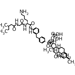 C/C=C1\C=C[C@@]2(C)C(=C1)CC[C@@H]1[C@@H]2[C@@H](O)C[C@@]2(C)[C@H]1C[C@H]1O[C@@H](c3ccc(Cc4cccc(NC(=O)[C@H](CCCCN)NC(=O)CNC(=O)CC(C)CC)c4)cc3)O[C@]12C(=O)COP(=O)(O)O